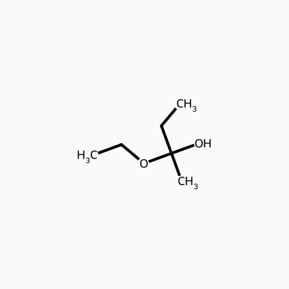 CCOC(C)(O)CC